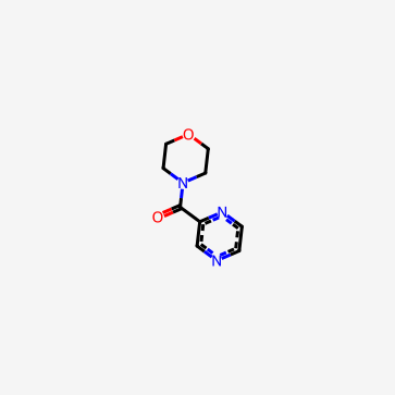 O=C(c1cnccn1)N1CCOCC1